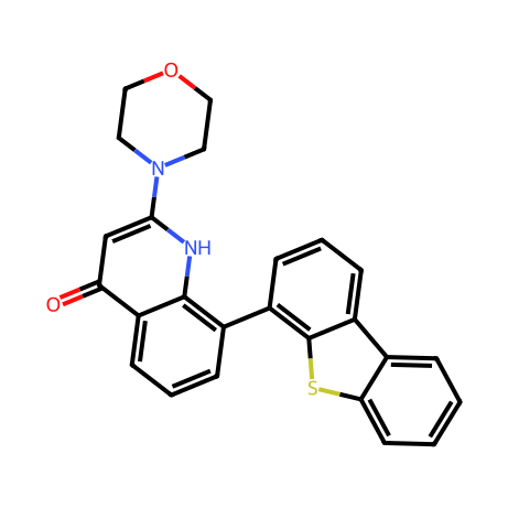 O=c1cc(N2CCOCC2)[nH]c2c(-c3cccc4c3sc3ccccc34)cccc12